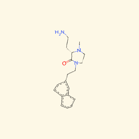 CN1CCN(CCc2ccc3ccccc3c2)C(=O)[C@@H]1CCN